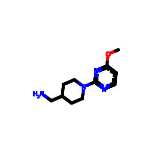 COc1ccnc(N2CCC(CN)CC2)n1